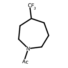 CC(=O)N1CCCC(C(F)(F)F)CC1